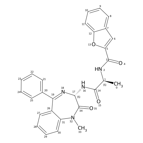 C[C@H](NC(=O)c1cc2ccccc2o1)C(=O)N[C@H]1N=C(c2ccccc2)c2ccccc2N(C)C1=O